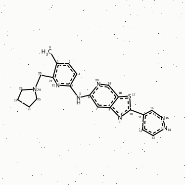 Cc1ccc(Nc2cc3nc(-c4ccnnc4)sc3cn2)nc1CN1CCCC1